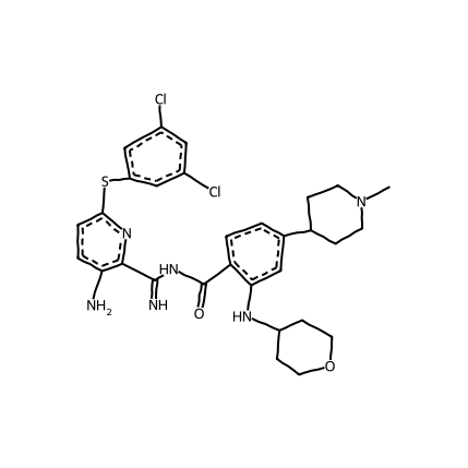 CN1CCC(c2ccc(C(=O)NC(=N)c3nc(Sc4cc(Cl)cc(Cl)c4)ccc3N)c(NC3CCOCC3)c2)CC1